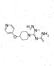 C=C(N)/N=C(\N(C)N)N1CCC(Oc2ccncc2)CC1